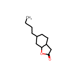 CCCCC1CCC2CC(=O)OC2C1